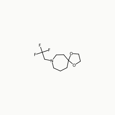 FC(F)(F)CN1CCCC2(CC1)OCCO2